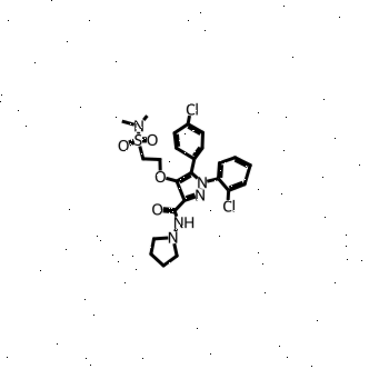 CN(C)S(=O)(=O)CCOc1c(C(=O)NN2CCCC2)nn(-c2ccccc2Cl)c1-c1ccc(Cl)cc1